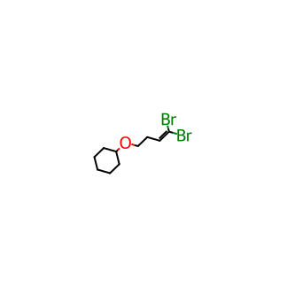 BrC(Br)=CCCOC1CCCCC1